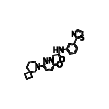 O=C(Cn1nc(N2CCCC3(CCC3)C2)ccc1=O)Nc1cccc(-c2nccs2)c1